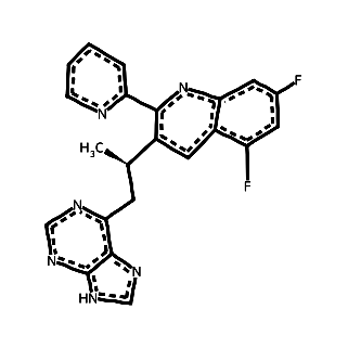 C[C@H](Cc1ncnc2[nH]cnc12)c1cc2c(F)cc(F)cc2nc1-c1ccccn1